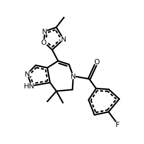 Cc1noc(C2=CN(C(=O)c3ccc(F)cc3)CC(C)(C)c3[nH]ncc32)n1